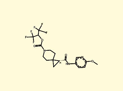 COc1ccc(NC(=O)[C@@H]2CC23CCN(C(=O)OC(C(F)(F)F)C(F)(F)F)CC3)cn1